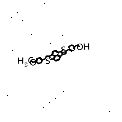 COC1=CC=C(C2CC3c4ccc5c6c(ccc(c46)C3S2)C2C=C(C3=CC=C(CO)CC3)SC52)CC1